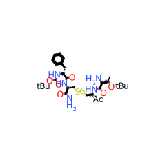 CC(=O)[C@H](CSSC[C@H](NC(=O)[C@@H](Cc1ccccc1)NC(=O)OC(C)(C)C)C(N)=O)NC(=O)[C@@H](N)[C@@H](C)OC(C)(C)C